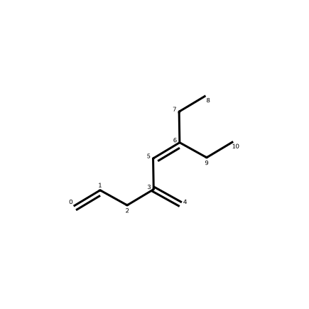 C=CCC(=C)C=C(CC)CC